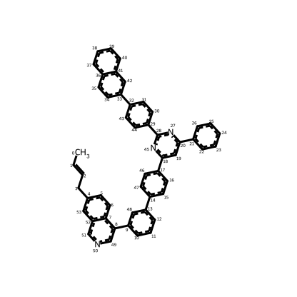 C/C=C/Cc1ccc2c(-c3cccc(-c4ccc(-c5cc(-c6ccccc6)nc(-c6ccc(-c7ccc8ccccc8c7)cc6)n5)cc4)c3)cncc2c1